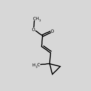 COC(=O)/C=C/C1(C)CC1